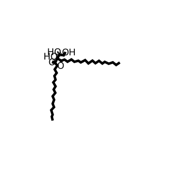 CCCCCCCCCCCCCCCCCC(=O)C(O)(C(=O)CCCCCCCCCCCCCCCCC)[C@@H](O)CO